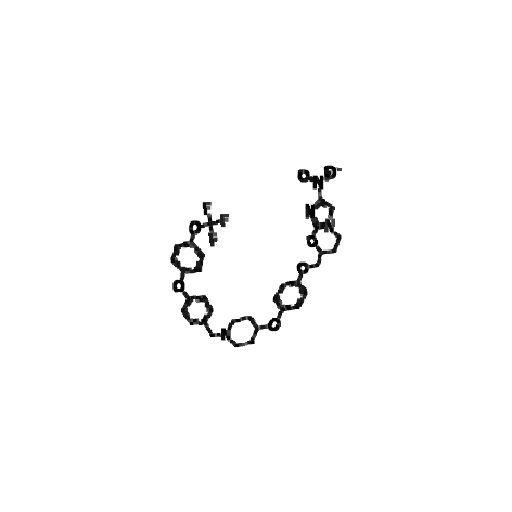 O=[N+]([O-])c1cn2c(n1)OC(COc1ccc(OC3CCN(Cc4ccc(Oc5ccc(OC(F)(F)F)cc5)cc4)CC3)cc1)CC2